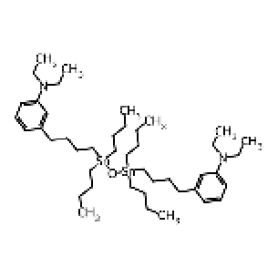 CCC[CH2][Sn]([CH2]CCC)([CH2]CCCc1cccc(N(CC)CC)c1)[O][Sn]([CH2]CCC)([CH2]CCC)[CH2]CCCc1cccc(N(CC)CC)c1